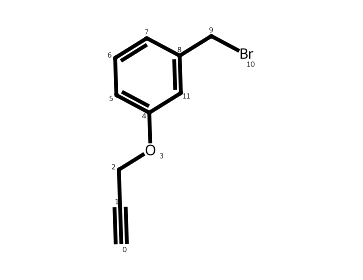 C#CCOc1cccc(CBr)c1